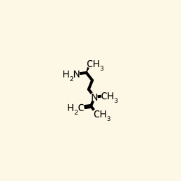 C=C(C)N(C)CC[C@H](C)N